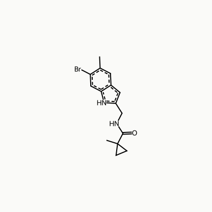 Cc1cc2cc(CNC(=O)C3(C)CC3)[nH]c2cc1Br